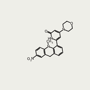 CN1c2ccc([N+](=O)[O-])cc2Cc2cccc(-c3cc(N4CCOCC4)cc(=O)[nH]3)c21